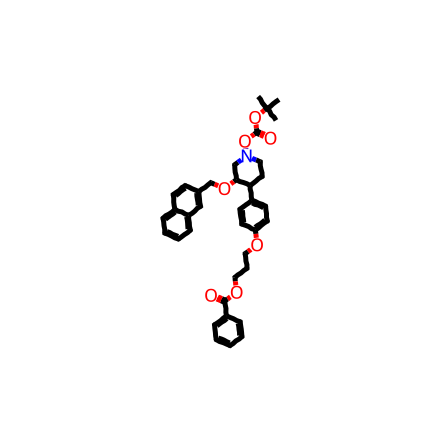 CC(C)(C)OC(=O)ON1CCC(c2ccc(OCCCOC(=O)c3ccccc3)cc2)C(OCc2ccc3ccccc3c2)C1